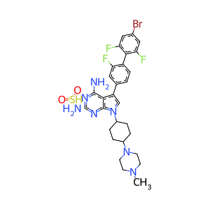 CN1CCN(C2CCC(n3cc(-c4ccc(-c5c(F)cc(Br)cc5F)c(F)c4)c4c(N)ncnc43)CC2)CC1.N[SH](=O)=O